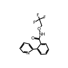 O=C(NOCC(F)(F)F)c1ccccc1-c1ccccn1